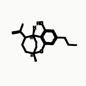 C=C(C)C1CC[C@]2(C)CC[C@H]1c1c(O)cc(CCC)cc1O2